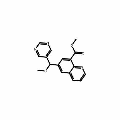 COC(=O)c1cc(C(OC)c2cncnc2)cc2cccnc12